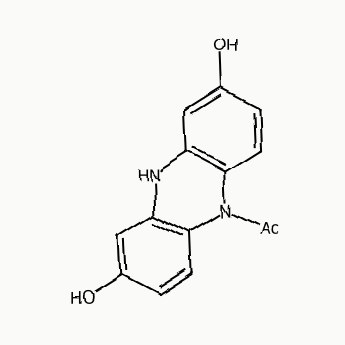 CC(=O)N1c2ccc(O)cc2Nc2cc(O)ccc21